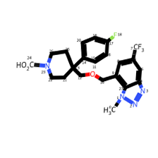 Cn1nnc2cc(C(F)(F)F)cc(COCC3(c4ccc(F)cc4)CCN(C(=O)O)CC3)c21